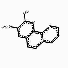 CCCCCc1cc2ccc3cccnc3c2nc1CCC